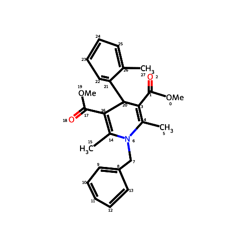 COC(=O)C1=C(C)N(Cc2ccccc2)C(C)=C(C(=O)OC)C1c1ccccc1C